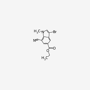 CCOC(=O)c1cc(C#N)c2c(c1)c(Br)cn2C